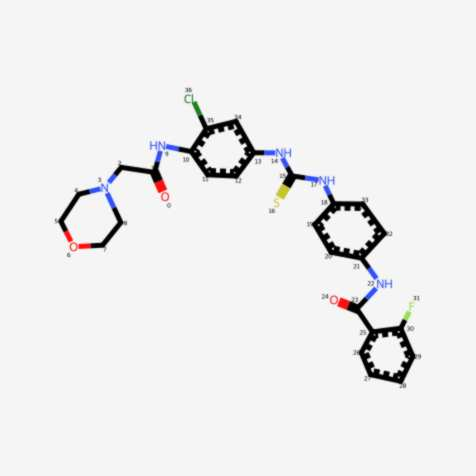 O=C(CN1CCOCC1)Nc1ccc(NC(=S)Nc2ccc(NC(=O)c3ccccc3F)cc2)cc1Cl